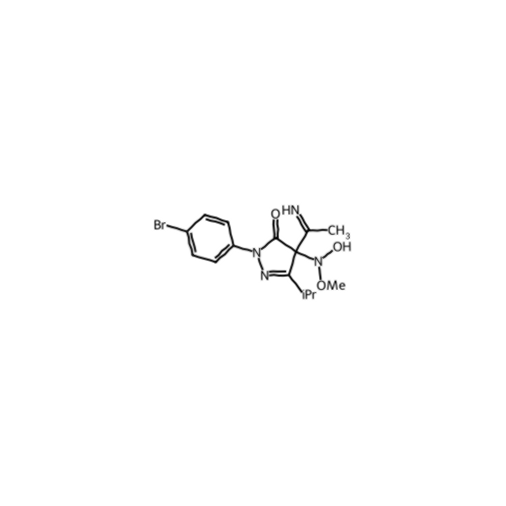 CON(O)C1(C(C)=N)C(=O)N(c2ccc(Br)cc2)N=C1C(C)C